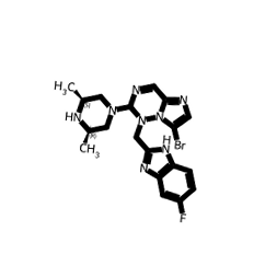 C[C@@H]1CN(C2N=Cc3ncc(Br)n3N2Cc2nc3cc(F)ccc3[nH]2)C[C@H](C)N1